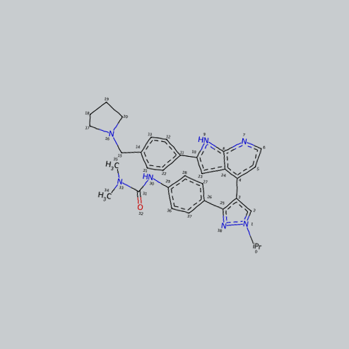 CC(C)n1cc(-c2ccnc3[nH]c(-c4ccc(CN5CCCC5)cc4)cc23)c(-c2ccc(NC(=O)N(C)C)cc2)n1